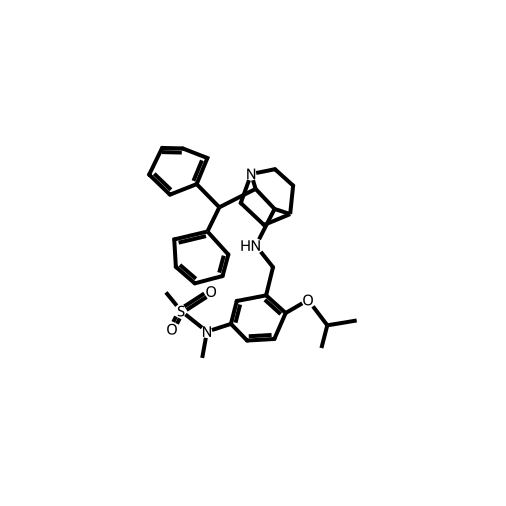 CC(C)Oc1ccc(N(C)S(C)(=O)=O)cc1CNC1C2CCN(CC2)C1C(c1ccccc1)c1ccccc1